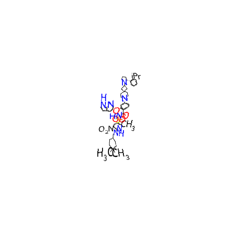 Cc1nc(NCC2CCC(C)(C)CC2)c([N+](=O)[O-])cc1S(=O)(=O)NC(=O)c1ccc(N2CCC3(CC2)CC(N2CCC[C@@H]2c2ccccc2C(C)C)C3)cc1Oc1cnc2[nH]ccc2c1